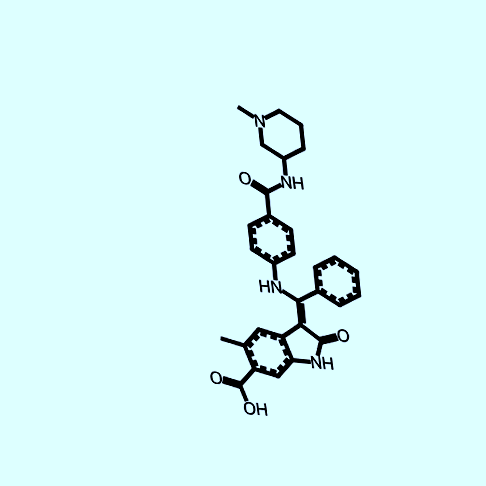 Cc1cc2c(cc1C(=O)O)NC(=O)C2=C(Nc1ccc(C(=O)NC2CCCN(C)C2)cc1)c1ccccc1